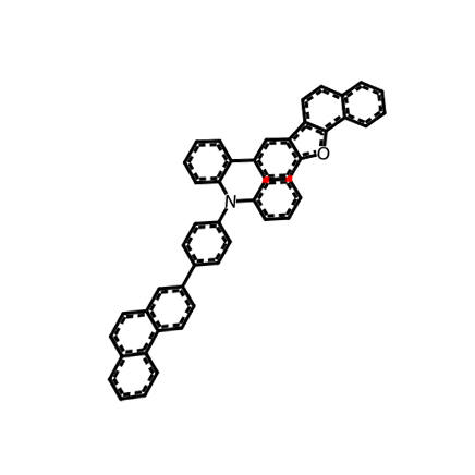 c1ccc(N(c2ccc(-c3ccc4c(ccc5ccccc54)c3)cc2)c2ccccc2-c2ccc3oc4c5ccccc5ccc4c3c2)cc1